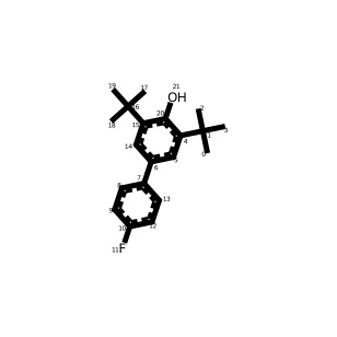 CC(C)(C)c1cc(-c2ccc(F)cc2)cc(C(C)(C)C)c1O